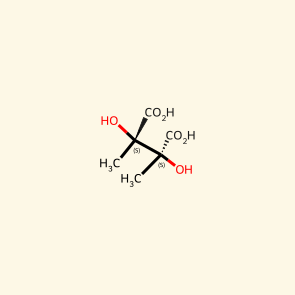 C[C@@](O)(C(=O)O)[C@](C)(O)C(=O)O